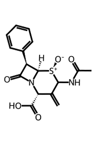 C=C1C(NC(C)=O)[S@+]([O-])[C@@H]2[C@H](c3ccccc3)C(=O)N2[C@H]1C(=O)O